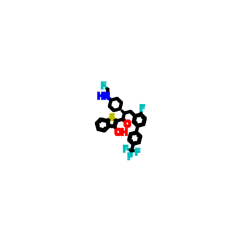 O=C(c1sc2ccccc2c1O)C(Cc1cc(-c2ccc(C(F)(F)F)cc2)ccc1F)[C@H]1CC[C@H](NCF)CC1